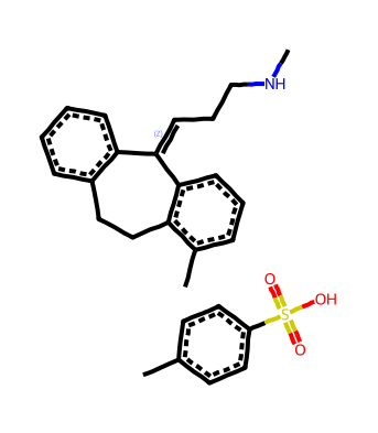 CNCC/C=C1/c2ccccc2CCc2c(C)cccc21.Cc1ccc(S(=O)(=O)O)cc1